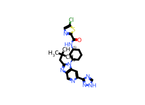 CC(C)(C)Cc1nc2cnc(-c3nc[nH]n3)cc2n1[C@@H]1CCC[C@H](NC(=O)c2ncc(Cl)s2)C1